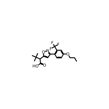 CCCOc1ccc(-c2cc(C(C(=O)O)C(C)(C)C)on2)c(C(F)(F)F)c1